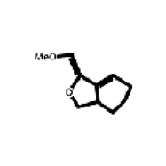 COC=C1OCC2CCCC=C12